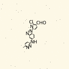 Cc1ccc(Nc2ccc3c(c2)ncn3-c2ccc(C=O)c(Cl)n2)nn1